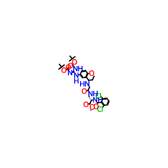 COC(=O)[C@H](CNC(=O)CN[C@H]1CCOc2ccc(N/C(=N/C(=O)OC(C)(C)C)NC(=O)OC(C)(C)C)cc21)NC(=O)c1c(Cl)cccc1Cl